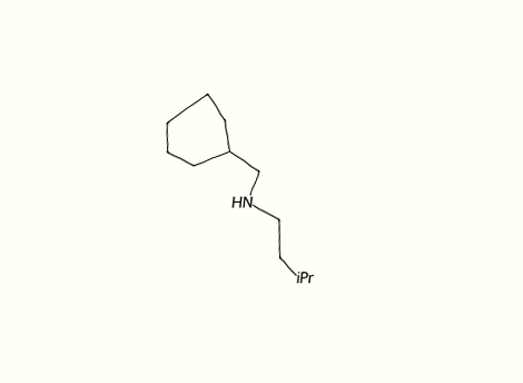 CC(C)CCNCC1CCCCC1